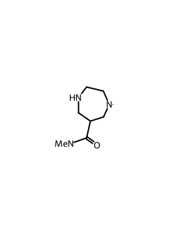 CNC(=O)C1C[N]CCNC1